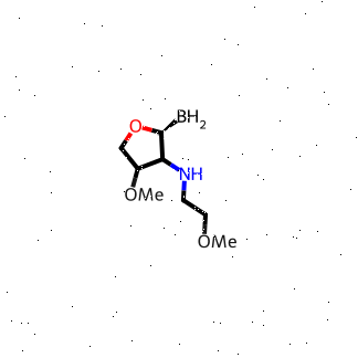 B[C@@H]1OCC(OC)C1NCCOC